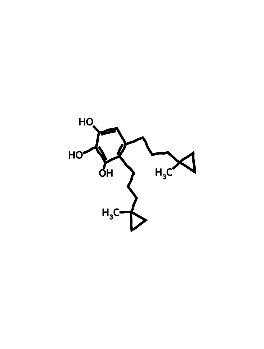 CC1(CCCc2cc(O)c(O)c(O)c2CCCC2(C)CC2)CC1